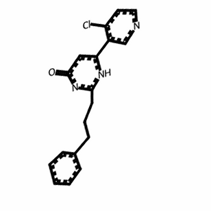 O=c1cc(-c2cnccc2Cl)[nH]c(CCCc2ccccc2)n1